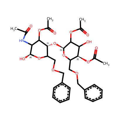 CC(=O)NC1C(OC(C)=O)[C@H](O[C@@H]2OC(COCc3ccccc3)[C@H](OC(C)=O)C(O)C2OC(C)=O)C(COCc2ccccc2)O[C@H]1O